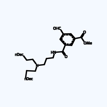 CCCCCCCCCCCCN(CCCCCCCCCCCC)CCCNC(=O)c1cc(C=O)cc(C(=O)OC)c1